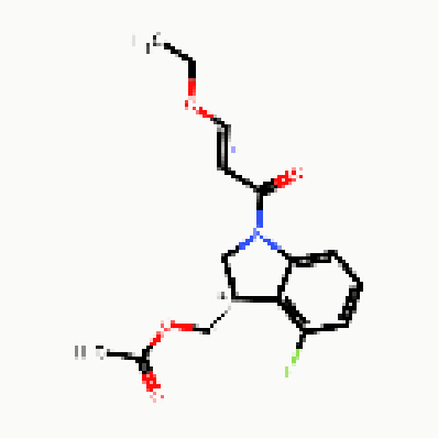 CCO/C=C/C(=O)N1C[C@@H](COC(C)=O)c2c(F)cccc21